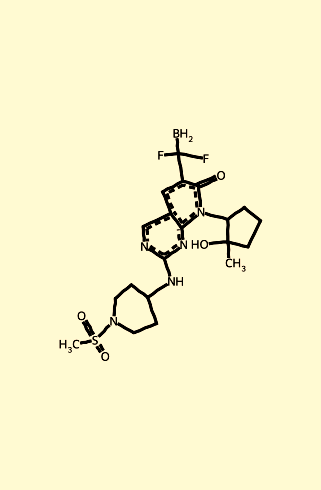 BC(F)(F)c1cc2cnc(NC3CCN(S(C)(=O)=O)CC3)nc2n(C2CCCC2(C)O)c1=O